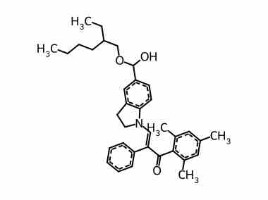 CCCCC(CC)COC(O)c1ccc2c(c1)CCN2/C=C(/C(=O)c1c(C)cc(C)cc1C)c1ccccc1